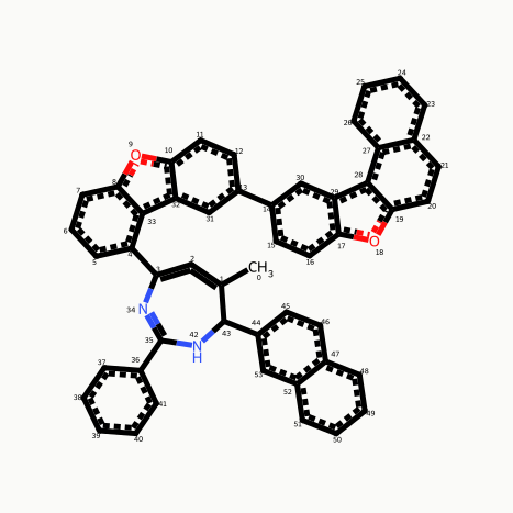 CC1=C=C(c2cccc3oc4ccc(-c5ccc6oc7ccc8ccccc8c7c6c5)cc4c23)N=C(c2ccccc2)NC1c1ccc2ccccc2c1